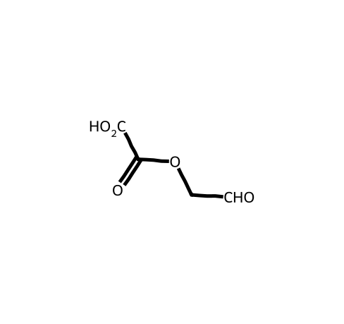 O=CCOC(=O)C(=O)O